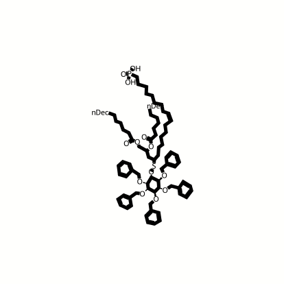 CCCCCCCCCCCCCCCC(=O)OCC(CC(CCCCCC/C=C\CCCCCCCCP(=O)(O)O)SO[C@@H]1[C@@H](OCc2ccccc2)[C@H](OCc2ccccc2)[C@@H](OCc2ccccc2)[C@H](OCc2ccccc2)[C@@H]1OCc1ccccc1)OC(=O)CCCCCCCCCCCCCCC